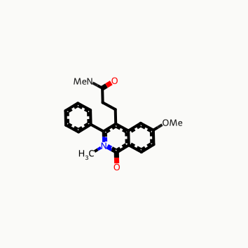 CNC(=O)CCc1c(-c2ccccc2)n(C)c(=O)c2ccc(OC)cc12